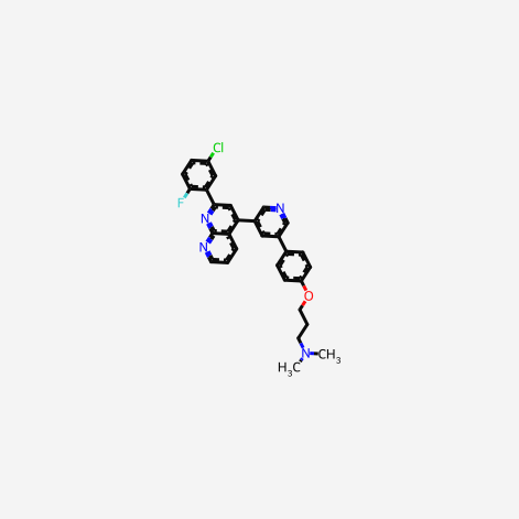 CN(C)CCCOc1ccc(-c2cncc(-c3cc(-c4cc(Cl)ccc4F)nc4ncccc34)c2)cc1